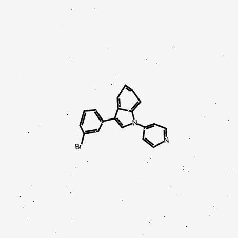 Brc1cccc(-c2cn(-c3ccncc3)c3ccccc23)c1